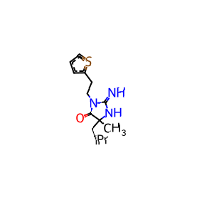 CC(C)CC1(C)NC(=N)N(CCc2cccs2)C1=O